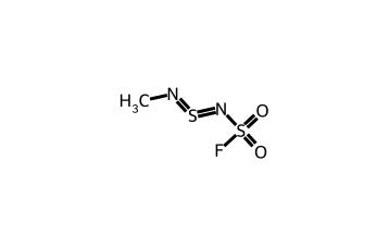 CN=S=NS(=O)(=O)F